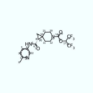 Cc1ccc(NC(=O)[C@@H]2CC23CCN(C(=O)OC(C(F)(F)F)C(F)(F)F)CC3)cn1